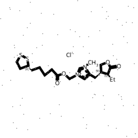 CC[C@@H]1C(=O)OC[C@@H]1Cc1c[n+](COC(=O)CCCC[C@@H]2CCSS2)cn1C.[Cl-]